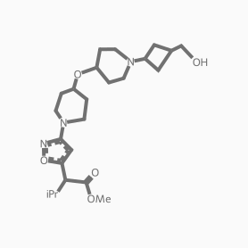 COC(=O)C(c1cc(N2CCC(OC3CCN(C4CC(CO)C4)CC3)CC2)no1)C(C)C